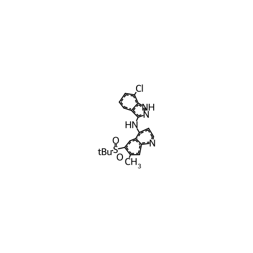 Cc1cc2nccc(Nc3n[nH]c4c(Cl)cccc34)c2cc1S(=O)(=O)C(C)(C)C